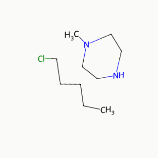 CCCCCCl.CN1CCNCC1